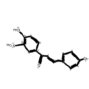 O=C(/C=C/c1ccc(O)cc1)c1ccc(O)c(S(=O)(=O)O)c1